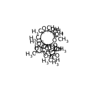 C#CCCN(C)[C@H]1C[C@@H](C)O[C@@H](O[C@@H]2[C@@H](C)[C@H](O[C@H]3C[C@@](C)(CC)[C@@H](O)[C@H](C)O3)[C@@H](C)C(=O)O[C@H](CC)[C@@](C)(O)[C@H](O)[C@@H](C)C(=O)[C@H](C)CC2(C)C)[C@@H]1O